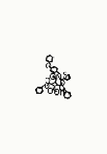 O=C(O)C1C(C(=O)OCc2ccccc2)C(C(=O)N(Cc2ccc(Oc3ccccc3)cc2)Cc2cccs2)C1C(=O)OCc1ccccc1